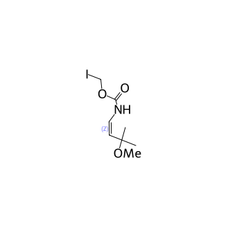 COC(C)(C)/C=C\NC(=O)OCI